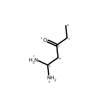 CCC(=O)CC(N)N